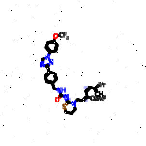 C=C(/C=C\C(=C/CN1CCCS/C1=N\C(=O)NCc1ccc(-c2ncn(-c3ccc(OC(F)(F)F)cc3)n2)cc1)OC)C(C)C